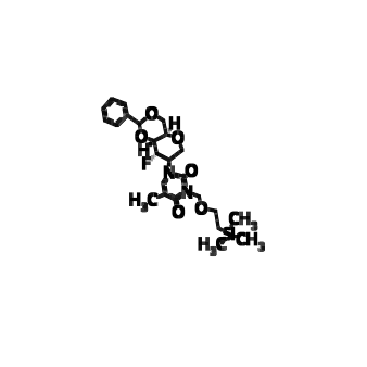 Cc1cn([C@@H]2CO[C@@H]3COC(c4ccccc4)O[C@H]3[C@H]2F)c(=O)n(COCC[Si](C)(C)C)c1=O